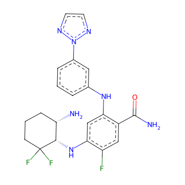 NC(=O)c1cc(F)c(N[C@H]2[C@@H](N)CCCC2(F)F)cc1Nc1cccc(-n2nccn2)c1